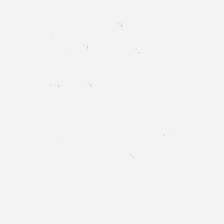 CCc1nc2c(N)ncc(-c3ccc(N4CCOCC4)c(OC)c3)c2nc1NC1CCOC(C)C1